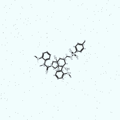 COc1ccccc1[C@H](C)C(=O)N1C[C@@H]2C[C@@H](COS(=O)(=O)c3ccc(C)cc3)C[C@@](O)(c3ccccc3OC)[C@@H]2C1